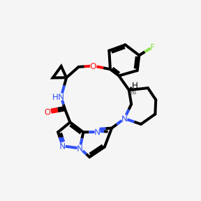 O=C1NC2(CC2)COc2ccc(F)cc2[C@@H]2CCCCN(C2)c2ccn3ncc1c3n2